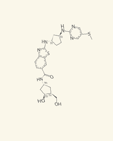 CSc1cnc(N[C@H]2CC[C@H](Nc3nc4ccc(C(=O)N[C@@H]5C[C@@H](CO)[C@@H](O)C5)cc4s3)C2)nc1